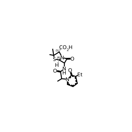 CCc1cccn(C(C)C(=O)NC2C(=O)N3[C@@H]2SC(C)(C)[C@@H]3C(=O)O)c1=O